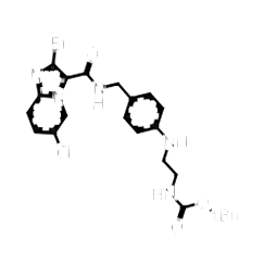 CCc1nc2ccc(Cl)cn2c1C(=O)NCc1ccc(NCCNC(=O)OC(C)(C)C)cc1